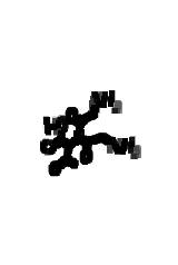 CC(=O)C(C(=O)O)N(C(=O)CN)C(=O)CN